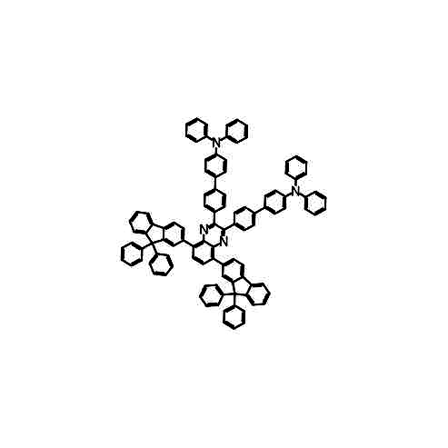 c1ccc(N(c2ccccc2)c2ccc(-c3ccc(-c4nc5c(-c6ccc7c(c6)C(c6ccccc6)(c6ccccc6)c6ccccc6-7)ccc(-c6ccc7c(c6)C(c6ccccc6)(c6ccccc6)c6ccccc6-7)c5nc4-c4ccc(-c5ccc(N(c6ccccc6)c6ccccc6)cc5)cc4)cc3)cc2)cc1